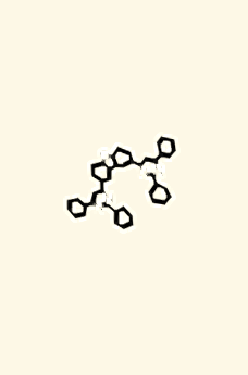 c1ccc(-c2cc(-c3ccc4oc5ccc(-c6cc(-c7ccccc7)nc(-c7ccccc7)n6)cc5c4c3)nc(-c3ccccc3)n2)cc1